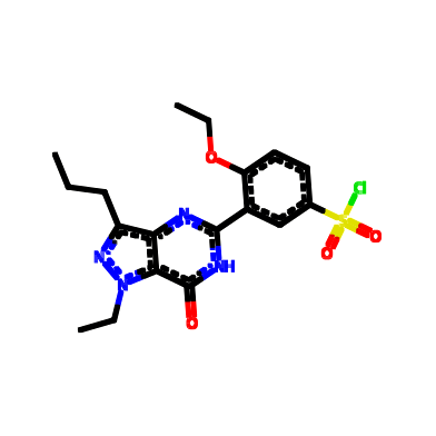 CCCc1nn(CC)c2c(=O)[nH]c(-c3cc(S(=O)(=O)Cl)ccc3OCC)nc12